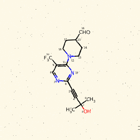 CC(C)(O)C#Cc1ncc(C(F)(F)F)c(N2CCC(C=O)CC2)n1